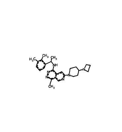 Cc1cccc([C@@H](C)Nc2nnc(C)c3cnc(N4CCC(N5CCC5)CC4)cc23)c1C